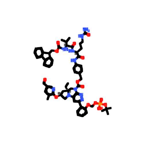 CC[C@@]12C[C@@H](Oc3ncc(C=O)cc3C)CN1c1cc(-c3ccccc3OCOP(=O)(O)OC(C)(C)C)nnc1N(C(=O)OCc1ccc(NC(=O)[C@H](CCCNC(N)=O)NC(=O)[C@@H](NC(=O)OCC3c4ccccc4-c4ccccc43)C(C)C)cc1)C2